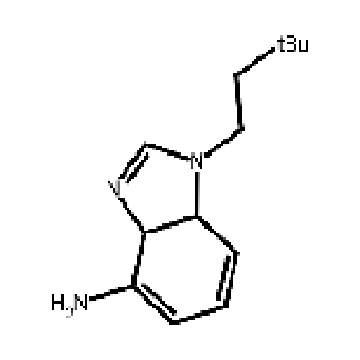 CC(C)(C)CCN1C=NC2C(N)=CC=CC21